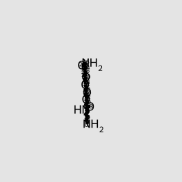 NCCCCCNC(=O)CCOCCOCCOCCOCCSCC(N)=O